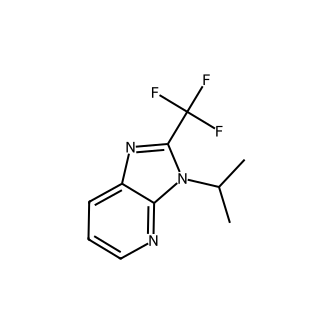 CC(C)n1c(C(F)(F)F)nc2cccnc21